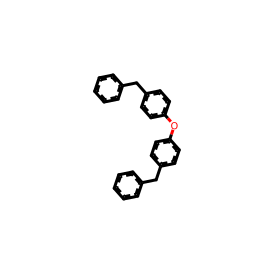 c1ccc(Cc2ccc(Oc3ccc(Cc4ccccc4)cc3)cc2)cc1